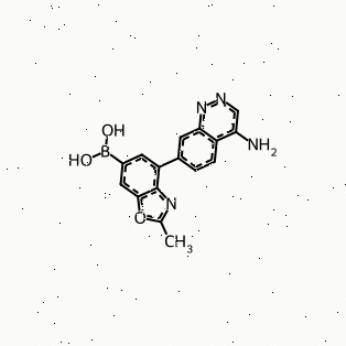 Cc1nc2c(-c3ccc4c(N)cnnc4c3)cc(B(O)O)cc2o1